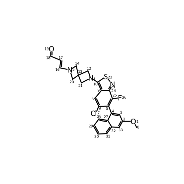 COc1cc(-c2c(Cl)cc3c(N4CC5(CN(C=CC=O)C5)C4)snc3c2F)c2ccccc2c1